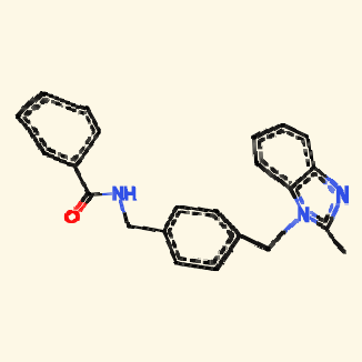 Cc1nc2ccccc2n1Cc1ccc(CNC(=O)c2ccccc2)cc1